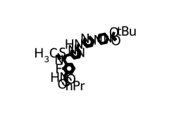 CCCS(=O)(=O)Nc1cccc(-c2nc(C)sc2-c2ccnc(Nc3ccc(N4CCN(C(=O)OC(C)(C)C)CC4)cn3)n2)c1F